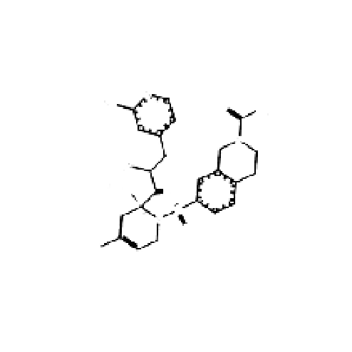 CCOC(=O)[C@]1(C(=O)C(N)Cc2ccnc(C#N)c2)CC(C)=CCN1S(=O)(=O)c1ccc2c(c1)CN(C(=O)C(F)(F)F)CC2